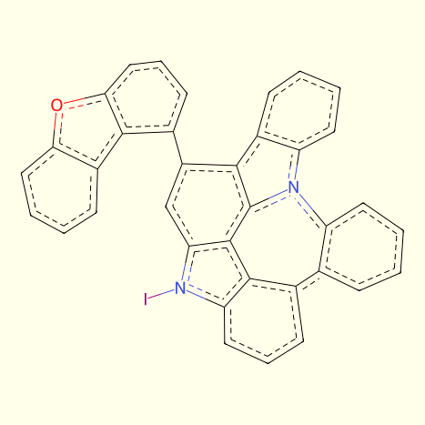 In1c2cccc3c4ccccc4n4c5ccccc5c5c(-c6cccc7oc8ccccc8c67)cc1c(c32)c54